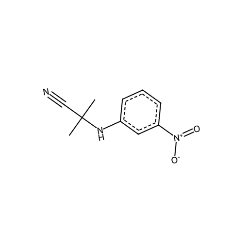 CC(C)(C#N)Nc1cccc([N+](=O)[O-])c1